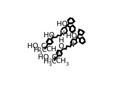 CC(C)(C(=O)O)c1ccc(C(O)CCCN2CCC(C(O)(c3ccccc3)c3ccccc3)CC2)cc1.CC(C)(C(=O)O)c1ccc([C@@H](O)CCCN2CCC(C(O)(c3ccccc3)c3ccccc3)CC2)cc1